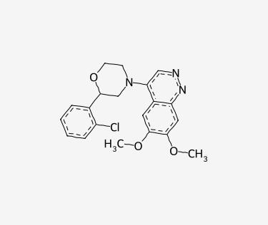 COc1cc2nncc(N3CCOC(c4ccccc4Cl)C3)c2cc1OC